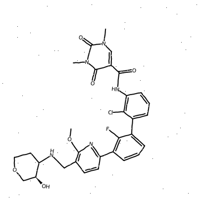 COc1nc(-c2cccc(-c3cccc(NC(=O)c4cn(C)c(=O)n(C)c4=O)c3Cl)c2F)ccc1CNC1CCOC[C@@H]1O